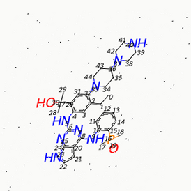 CCc1cc(Nc2nc(Nc3ccccc3P(C)(C)=O)c3cc[nH]c3n2)c(C(C)(C)O)cc1N1CCC(N2CCNCC2)CC1